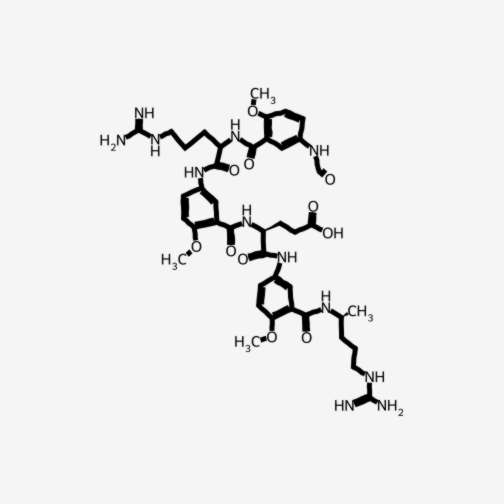 COc1ccc(NC=O)cc1C(=O)NC(CCCNC(=N)N)C(=O)Nc1ccc(OC)c(C(=O)N[C@@H](CCC(=O)O)C(=O)Nc2ccc(OC)c(C(=O)N[C@H](C)CCCNC(=N)N)c2)c1